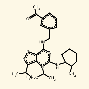 CC(=O)c1cccc(CNc2nc(NC3CCCCC3N)n(C(C)C)c3c(C(C)C)nnc2-3)c1